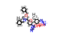 C[C@H]1CC(N=[N+]=[N-])[C@H](O)[C@@H](O)[C@@H]1C1O[C@H]([C@H](COCc2ccccc2)N(C)Cc2ccccc2)CCC1N=[N+]=[N-]